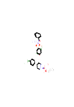 CCCCOC(=O)N1CC[C@H](c2ccc(Cl)cc2)[C@@H](COc2cc(F)c(S(=O)(=O)NC(=O)c3ccccc3)cc2F)C1